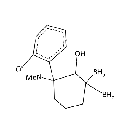 BC1(B)CCCC(NC)(c2ccccc2Cl)C1O